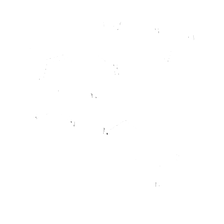 Cc1cc([C@H](C)Nc2ccc(Cl)nc2C(=O)O)c2nc(N3CCC(C(=O)N(C)C)CC3)n(C)c(=O)c2c1